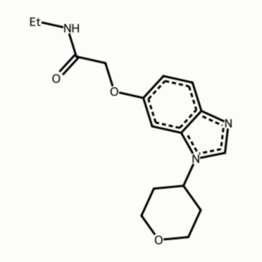 CCNC(=O)COc1ccc2ncn(C3CCOCC3)c2c1